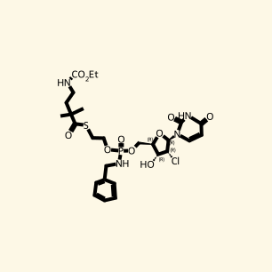 CCOC(=O)NCCC(C)(C)C(=O)SCCOP(=O)(NCc1ccccc1)OC[C@H]1O[C@@H](n2ccc(=O)[nH]c2=O)[C@H](Cl)[C@@H]1O